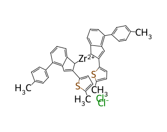 Cc1ccc(-c2cccc3c2C=C(c2ccc(C)s2)[CH]3[Zr+2][CH]2C(c3ccc(C)s3)=Cc3c(-c4ccc(C)cc4)cccc32)cc1.[Cl-].[Cl-]